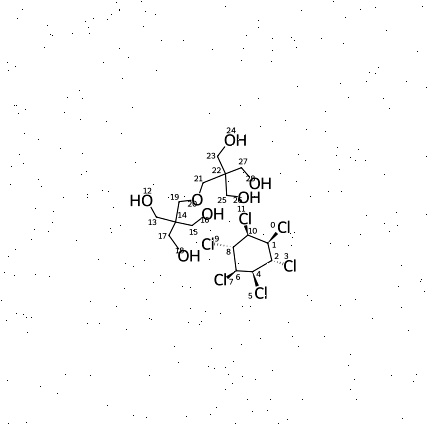 Cl[C@H]1[C@H](Cl)[C@@H](Cl)[C@@H](Cl)[C@H](Cl)[C@H]1Cl.OCC(CO)(CO)COCC(CO)(CO)CO